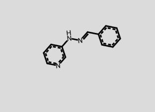 C(=NNc1cccnc1)c1ccccc1